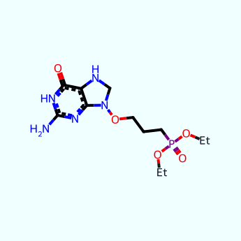 CCOP(=O)(CCCON1CNc2c1nc(N)[nH]c2=O)OCC